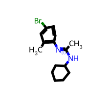 C/C(=N\c1ccc(Br)cc1C)NC1CCCCC1